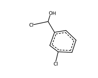 OC(Cl)c1cccc(Cl)c1